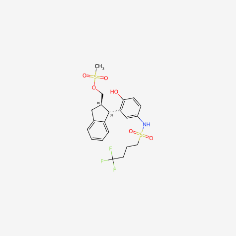 CS(=O)(=O)OC[C@@H]1Cc2ccccc2[C@H]1c1cc(NS(=O)(=O)CCCC(F)(F)F)ccc1O